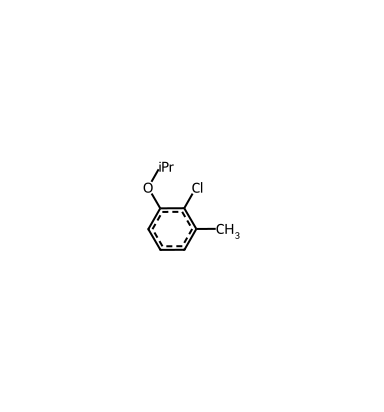 Cc1cccc(OC(C)C)c1Cl